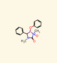 CN1C(=O)[N+](C)([O-])P(Oc2ccccc2)C1c1ccccc1